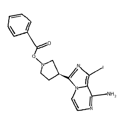 Nc1nccn2c([C@H]3CCN(OC(=O)c4ccccc4)C3)nc(I)c12